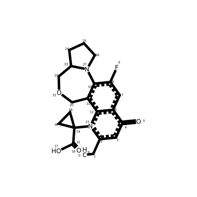 CCc1cc(=O)c2cc(F)c3c(c2n1C1(C(=O)O)CC1)COCC1CCCN31